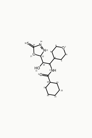 O=C(NC(C1CCOCC1)C(O)C1N=NC(=S)O1)C1CCCCC1